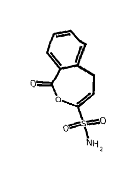 NS(=O)(=O)C1=CCc2ccccc2C(=O)O1